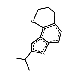 CC(C)c1cc2c3c(ccc2s1)CCCO3